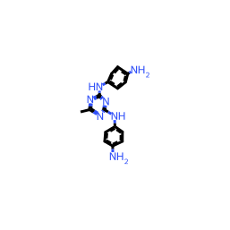 Cc1nc(Nc2ccc(N)cc2)nc(Nc2ccc(N)cc2)n1